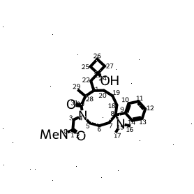 CNC(=O)CN1CCC[C@](c2ccccc2)(N(C)C)CCCC(CC2(O)CCC2)C(C)C1=O